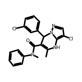 CC1=C(C(=O)N(C)c2ccccc2)C(c2cccc(Cl)c2)n2ncc(Cl)c2N1